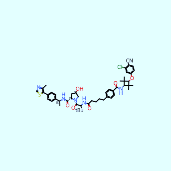 Cc1ncsc1-c1ccc([C@H](C)NC(=O)[C@@H]2C[C@@H](O)CN2C(=O)C(NC(=O)CCCCc2ccc(C(=O)NC3C(C)(C)C(Oc4ccc(C#N)c(Cl)c4)C3(C)C)cc2)C(C)(C)C)cc1